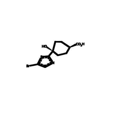 O=C(O)[C@H]1CC[C@@](O)(c2ncc(Br)s2)CC1